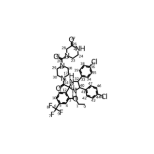 CCOc1cc(C(F)(F)F)ccc1C1(C(=O)N2CCN(C(=O)N3CCNC(=O)C3)CC2)NC(c2ccc(Cl)cc2)C(c2ccc(Cl)cc2)N1